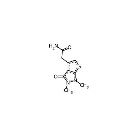 Cn1c(=O)c2c(CC(N)=O)csc2n1C